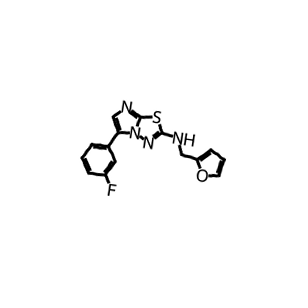 Fc1cccc(-c2cnc3sc(NCc4ccco4)nn23)c1